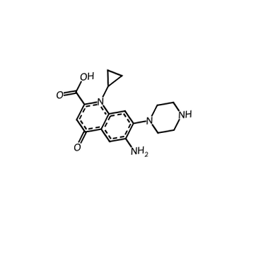 Nc1cc2c(=O)cc(C(=O)O)n(C3CC3)c2cc1N1CCNCC1